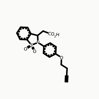 C#CCCOc1ccc(N2C(CC(=O)O)c3ccccc3S2(=O)=O)cc1